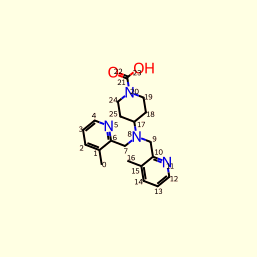 Cc1cccnc1CN(Cc1ncccc1C)C1CCN(C(=O)O)CC1